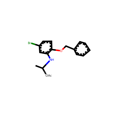 CC(=O)OC(C)Nc1cc(Br)ccc1OCc1ccccc1